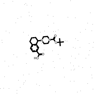 CC(C)(C)OC(=O)N1CCN(C2CCCc3ccc(C(=O)O)cc32)CC1